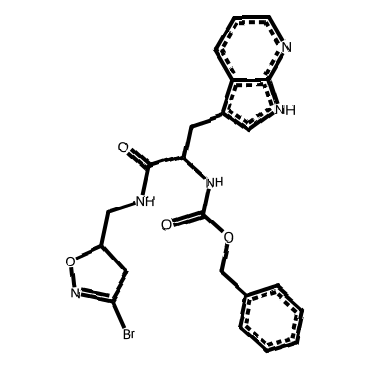 O=C(NC(Cc1c[nH]c2ncccc12)C(=O)NCC1CC(Br)=NO1)OCc1ccccc1